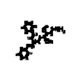 COC(CCN)C(CCN(C=Cc1ccccc1)C=Cc1ccccc1)OC